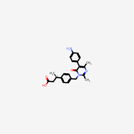 Cc1nc(C)n(Cc2ccc([C@H](C)CC(=O)O)cc2)c(=O)c1-c1ccc(N)cc1